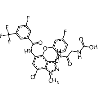 Cn1nc(NC(=O)CNC(=O)O)c2c(Oc3cc(F)ccc3Cl)c(NC(=O)c3cc(F)cc(C(F)(F)F)c3)cc(Cl)c21